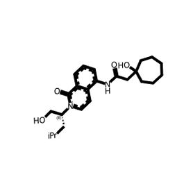 CC(C)C[C@H](CO)n1ccc2c(NC(=O)CC3(O)CCCCCC3)cccc2c1=O